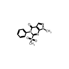 Cn1ncc2c(=O)n(-c3ccccc3)c(S(C)(=O)=O)nc21